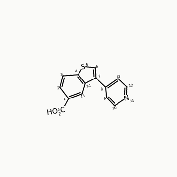 O=C(O)c1ccc2scc(-c3ccncc3)c2c1